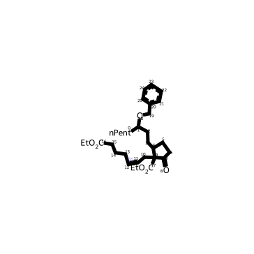 CCCCCC(CCC1CCC(=O)C1(C/C=C\CCCC(=O)OCC)C(=O)OCC)OCc1ccccc1